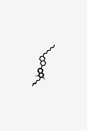 C/C=C/CCc1c(F)cc2cc(C3CCC4CC(CCCCCCC)CCC4C3)ccc2c1F